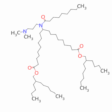 CCCCCCCCC(=O)N(CCCN(C)C)C(CCCCCCCCC(=O)OCC(CCCC)CCCCCC)CCCCCCCCC(=O)OCC(CCCC)CCCCCC